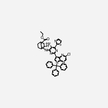 CCOC(=O)[C@@H]1C2CCC(CC2)[C@H]1Nc1nc(-c2cn(C(c3ccccc3)(c3ccccc3)c3ccccc3)c3ncc(Cl)nc23)nc(-c2nccs2)c1F